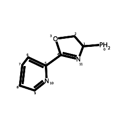 PC1COC(c2ccccn2)=N1